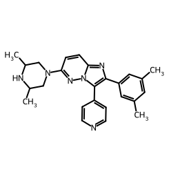 Cc1cc(C)cc(-c2nc3ccc(N4CC(C)NC(C)C4)nn3c2-c2ccncc2)c1